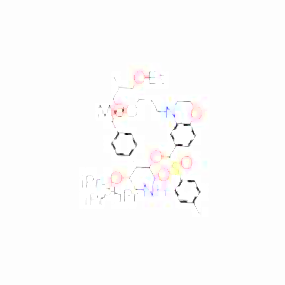 CCOC[C@H](C)COCc1ccc([C@@H]2[C@@H](OC(c3ccc4c(c3)N(CCCOC)CCO4)S(=O)(=O)c3ccc(C)cc3)CNC[C@H]2O[Si](C(C)C)(C(C)C)C(C)C)cc1